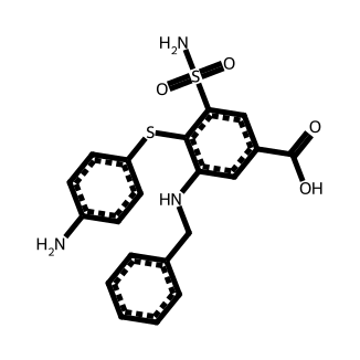 Nc1ccc(Sc2c(NCc3ccccc3)cc(C(=O)O)cc2S(N)(=O)=O)cc1